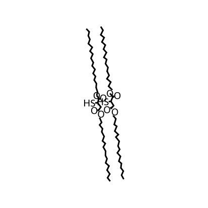 CCCCCCCCCCCCCCCCCCOC(=O)CC(S)C(=O)OCCCCCCCCCCCCCCCCCC.CCCCCCCCCCCCCCCCCCOC(=O)CC(S)C(=O)OCCCCCCCCCCCCCCCCCC